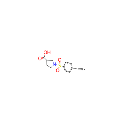 [C]#Cc1ccc(S(=O)(=O)N2CCC(C(=O)O)C2)cc1